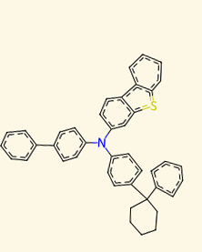 c1ccc(-c2ccc(N(c3ccc(C4(c5ccccc5)CCCCC4)cc3)c3ccc4c(c3)sc3ccccc34)cc2)cc1